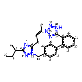 CC=CCc1nc(C(C)CC)nn1Cc1ccc(-c2ccccc2-c2nnn[nH]2)cc1